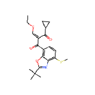 CCOC=C(C(=O)c1ccc(SC)c2nc(C(C)(C)C)oc12)C(=O)C1CC1